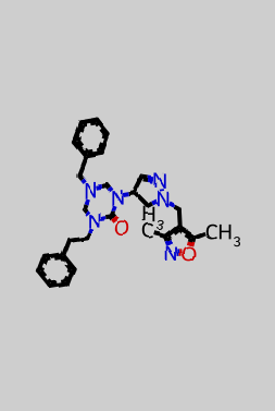 Cc1noc(C)c1CN1CC(N2CN(Cc3ccccc3)CN(CCc3ccccc3)C2=O)C=N1